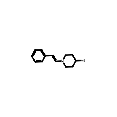 [CH2]CC1CCN(C=Cc2ccccc2)CC1